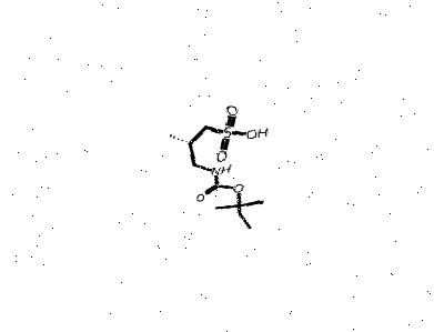 C[C@@H](CNC(=O)OC(C)(C)C)CS(=O)(=O)O